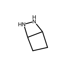 C1CC2NNC12